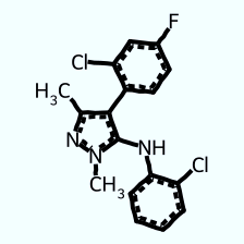 Cc1nn(C)c(Nc2ccccc2Cl)c1-c1ccc(F)cc1Cl